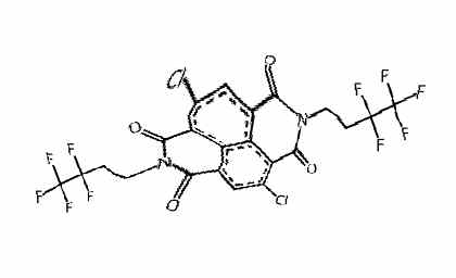 O=C1c2cc(Cl)c3c4c(cc(Cl)c(c24)C(=O)N1CCC(F)(F)C(F)(F)F)C(=O)N(CCC(F)(F)C(F)(F)F)C3=O